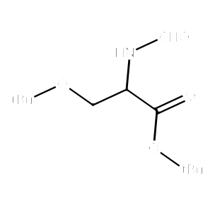 CC(C)(C)OCC(NC=O)C(=O)OC(C)(C)C